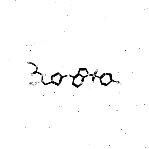 Cc1ccc(S(=O)(=O)n2ccc3c(Oc4ccc(C[C@@H](NC(=O)OC(C)(C)C)C(=O)O)cc4)ccnc32)cc1